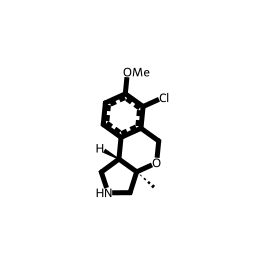 COc1ccc2c(c1Cl)CO[C@@]1(C)CNC[C@H]21